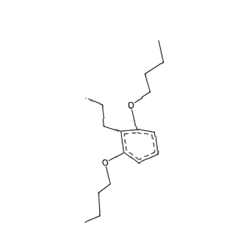 [CH2]CCc1c(OCCCC)cccc1OCCCC